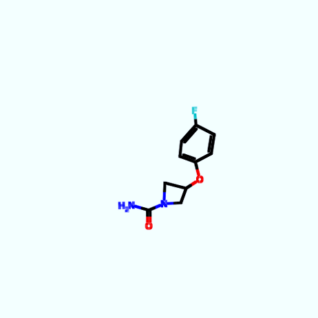 NC(=O)N1CC(Oc2ccc(F)cc2)C1